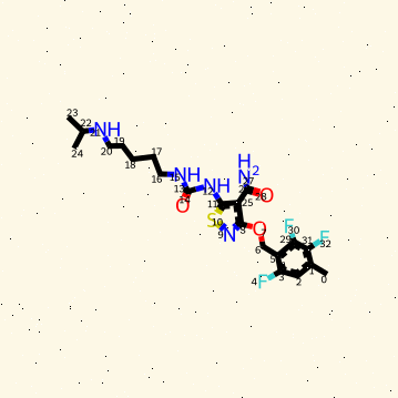 Cc1cc(F)c(COc2nsc(NC(=O)NCCCCCNC(C)C)c2C(N)=O)c(F)c1F